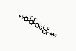 CCc1ccc(-c2ccc(C3CCC(OCC4=CCC(OC)C(F)=C4F)CC3)c(F)c2F)cc1